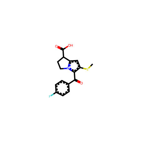 CSc1cc2n(c1C(=O)c1ccc(F)cc1)CCC2C(=O)O